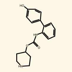 O=C(Nc1ccccc1-c1ccc(O)cc1)OC1CCNCC1